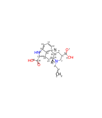 C=CCN1CC(C(=O)O)C[C@@H]2c3cccc4[nH]c(C(=O)O)c(c34)C[C@H]21